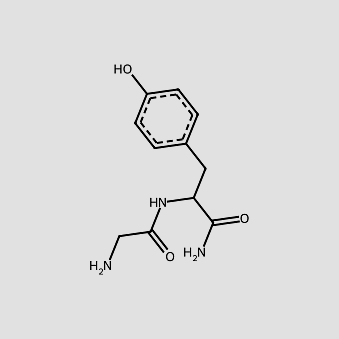 NCC(=O)NC(Cc1ccc(O)cc1)C(N)=O